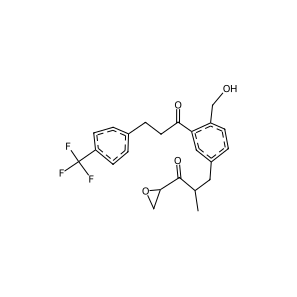 CC(Cc1ccc(CO)c(C(=O)CCc2ccc(C(F)(F)F)cc2)c1)C(=O)C1CO1